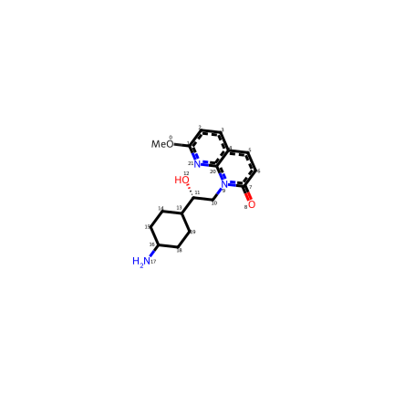 COc1ccc2ccc(=O)n(C[C@@H](O)C3CCC(N)CC3)c2n1